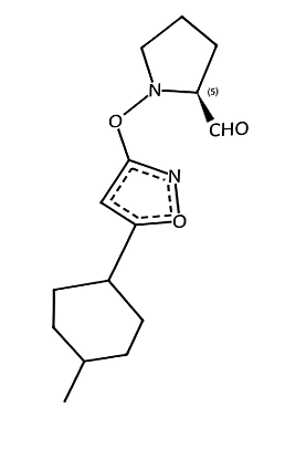 CC1CCC(c2cc(ON3CCC[C@H]3C=O)no2)CC1